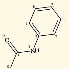 CC(=O)Nc1cc[c]cc1